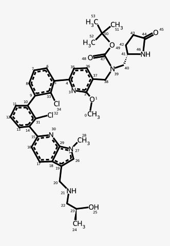 COc1nc(-c2cccc(-c3cccc(-c4ccc5c(CNC[C@H](C)O)cn(C)c5n4)c3Cl)c2Cl)ccc1CN(C[C@@H]1CCC(=O)N1)C(=O)OC(C)(C)C